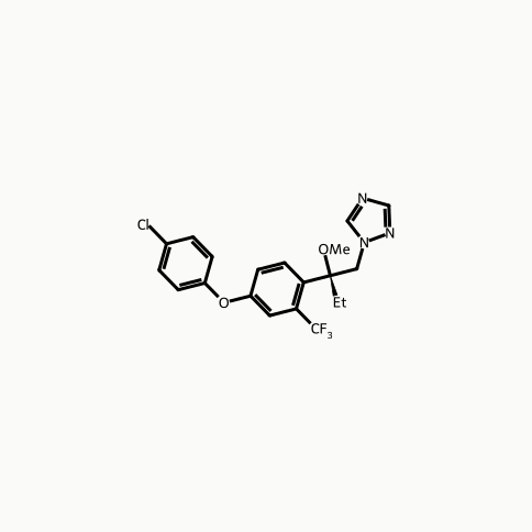 CC[C@](Cn1cncn1)(OC)c1ccc(Oc2ccc(Cl)cc2)cc1C(F)(F)F